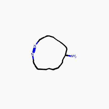 NC1CCCCCCN=NCCCCC1